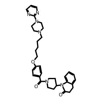 O=C(c1ccc(OCCCCCN2CCN(c3ncccn3)CC2)cc1)N1CCC(N2C(=O)CCc3ccccc32)CC1